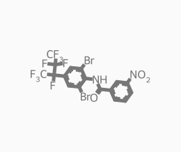 O=C(Nc1c(Br)cc(C(F)(C(F)(F)F)C(F)(F)C(F)(F)F)cc1Br)c1cccc([N+](=O)[O-])c1